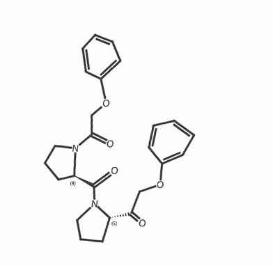 O=C(COc1ccccc1)[C@@H]1CCCN1C(=O)[C@H]1CCCN1C(=O)COc1ccccc1